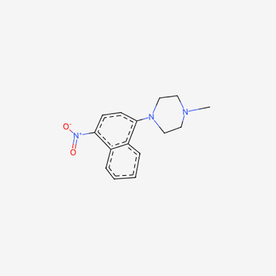 CN1CCN(c2ccc([N+](=O)[O-])c3ccccc23)CC1